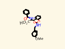 COc1ccc(CNC(=O)Oc2ccccc2C[C@H](NC(=O)c2ccccc2)C(=O)O)cc1